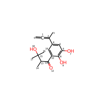 C=C=C(C)c1cc(O)c(O)c(C(=O)C(C)C(C)(C)O)c1